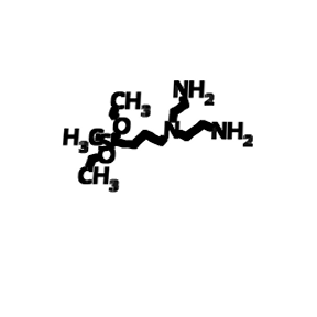 CCO[Si](C)(CCCN(CCN)CCN)OCC